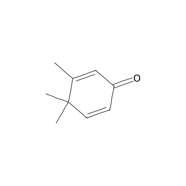 CC1=CC(=O)C=CC1(C)C